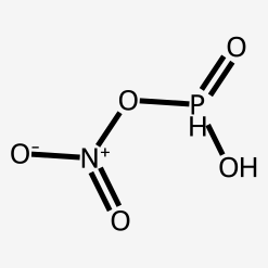 O=[N+]([O-])O[PH](=O)O